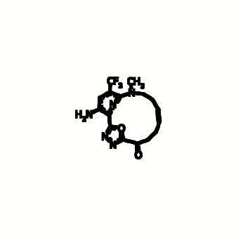 CN1CCC=CCCC(=O)c2nnc(o2)-c2nc1c(C(F)(F)F)cc2N